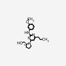 CCCc1cc(N2CCC[C@H]2CO)nc(Nc2cccc(OC)c2)n1